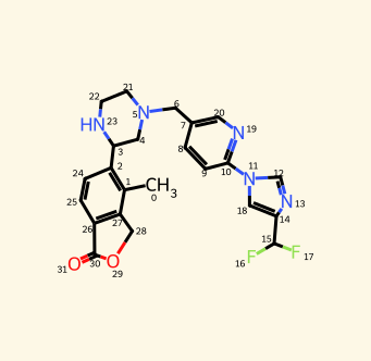 Cc1c(C2CN(Cc3ccc(-n4cnc(C(F)F)c4)nc3)CCN2)ccc2c1COC2=O